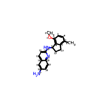 COc1ccc(C)c2c1C(Nc1ccc3cc(N)ccc3n1)CC2